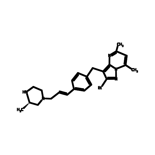 CCc1nn2c(C)cc(C)nc2c1Cc1ccc(C=CCN2CCN[C@@H](C)C2)cc1